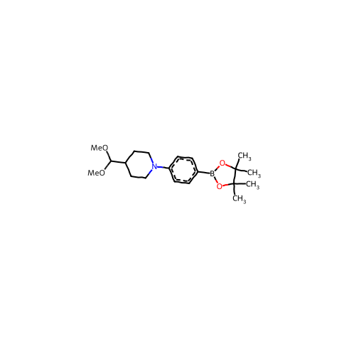 COC(OC)C1CCN(c2ccc(B3OC(C)(C)C(C)(C)O3)cc2)CC1